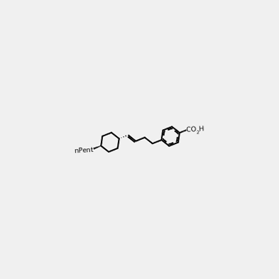 CCCCC[C@H]1CC[C@H](/C=C/CCc2ccc(C(=O)O)cc2)CC1